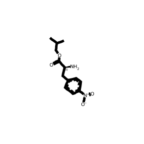 CC(C)COC(=O)[C@@H](N)Cc1ccc([N+](=O)[O-])cc1